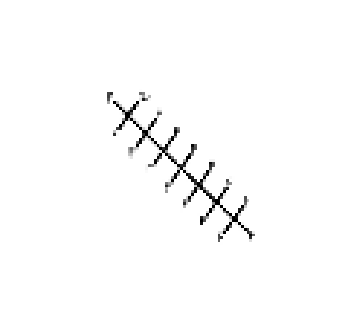 FC(F)(F)C(F)(F)C(F)(F)C(F)(F)C(F)(F)C(F)(F)[C](F)(F)[Na]